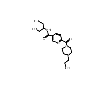 O=C(NC(CO)CO)c1ccc(C(=O)N2CCN(CCO)CC2)nc1